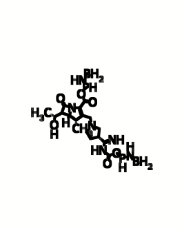 BNPOC(=O)NC(=N)[C@H]1CCN(CC2=C(C(=O)OPNB)N3C(=O)C([C@@H](C)O)[C@H]3[C@H]2C)C1